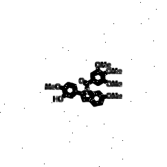 COc1ccc2cc(-c3ccc(OC)c(O)c3)n(C(=O)c3cc(OC)c(OC)c(OC)c3)c2c1